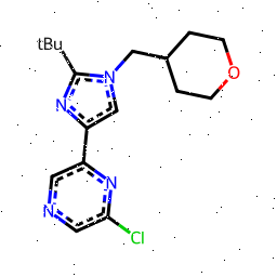 CC(C)(C)c1nc(-c2cncc(Cl)n2)cn1CC1CCOCC1